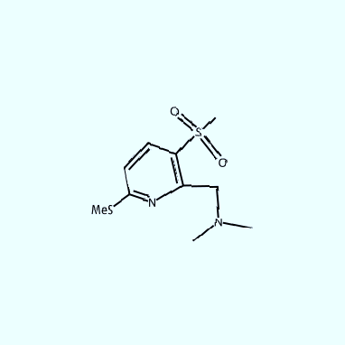 CSc1ccc(S(C)(=O)=O)c(CN(C)C)n1